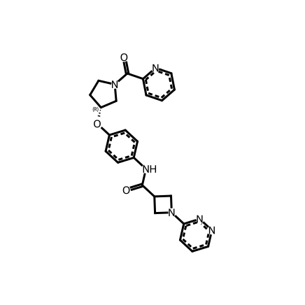 O=C(Nc1ccc(O[C@@H]2CCN(C(=O)c3ccccn3)C2)cc1)C1CN(c2cccnn2)C1